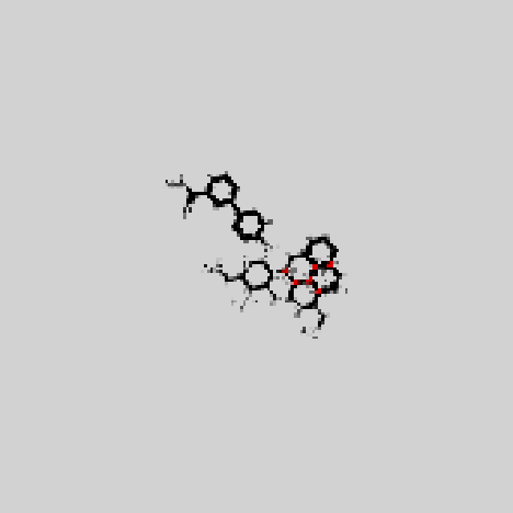 CNC(=O)c1cccc(-c2ccc(O[C@H]3O[C@H](COC(C)=O)[C@@H](C)[C@H](C[C@H]4O[C@H](COC(C)=O)[C@@H](C)[C@H](C)[C@@H]4OCc4ccccc4)[C@@H]3OCc3ccccc3)cc2)c1